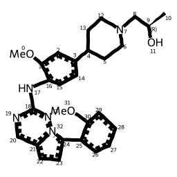 COc1cc(C2CCN(C[C@@H](C)O)CC2)ccc1Nc1ncc2ccc(-c3ccccc3OC)n2n1